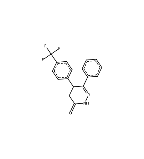 O=C1CC(c2ccc(C(F)(F)F)cc2)C(c2ccccc2)=NN1